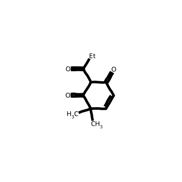 CCC(=O)C1C(=O)C=CC(C)(C)C1=O